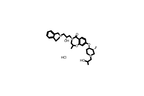 CC(O)CN1CC[C@@H](Oc2ccc3c(c2)OC(C)CN(C[C@H](O)CN2CCc4ccccc4C2)C3=O)[C@H](F)C1.Cl